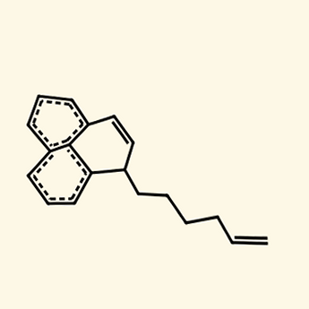 C=CCCCCC1C=Cc2cccc3cccc1c23